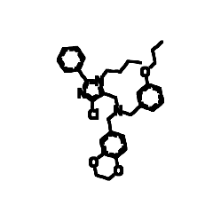 CCCCn1c(-c2ccccc2)nc(Cl)c1CN(Cc1cccc(OCCC)c1)Cc1ccc2c(c1)OCCO2